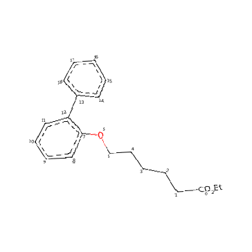 CCOC(=O)CCCCCOc1ccccc1-c1ccccc1